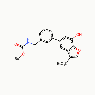 CCOC(=O)c1coc2c(O)cc(-c3cccc(CNC(=O)OC(C)(C)C)c3)cc12